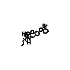 C=CCC(C)(C)C(=O)N/C(=C/c1ccc(Oc2ccccc2Br)cc1)C(=O)O